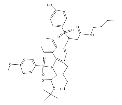 C/C=c1/c(N(CC(=O)NCCCC)S(=O)(=O)c2ccc(O)cc2)cc(CCCO)c(N(CC(=O)OC(C)(C)C)S(=O)(=O)c2ccc(OC)cc2)/c1=C/C